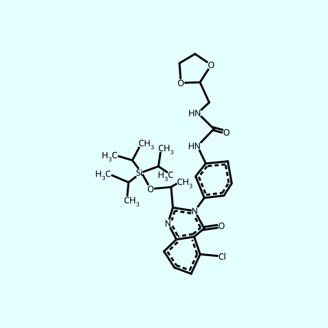 CC(O[Si](C(C)C)(C(C)C)C(C)C)c1nc2cccc(Cl)c2c(=O)n1-c1cccc(NC(=O)NCC2OCCO2)c1